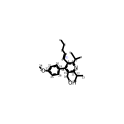 CCC/C=C/c1c(C(C)C)nc(C(C)C)c(CO)c1-c1ccc(OC)cc1